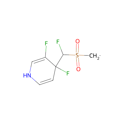 [CH2]S(=O)(=O)C(F)C1(F)C=CNC=C1F